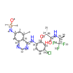 Cc1cc(N=S(C)(C)=O)cc2ncnc(Nc3ccc(Cl)cc3O[C@H](C)C(O)N[C@@H](C)C(F)(F)F)c12